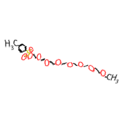 CCOCCOCCOCCOCCOCCOCCOCCOS(=O)(=O)c1ccc(C)cc1